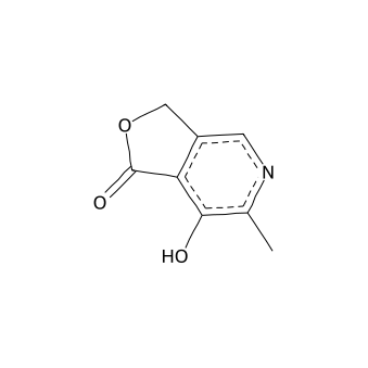 Cc1ncc2c(c1O)C(=O)OC2